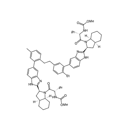 CCc1ccc(CCc2ccc(C)cc2-c2ccc3[nH]c([C@@H]4C[C@@H]5CCCC[C@@H]5N4C(=O)[C@@H](NC(=O)OC)C(C)C)nc3c2)cc1-c1ccc2[nH]c([C@@H]3C[C@@H]4CCCC[C@@H]4N3C(=O)[C@@H](NC(=O)OC)C(C)C)nc2c1